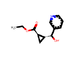 CCOC(=O)[C@@H]1C[C@H]1C(O)c1cccnc1